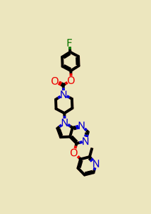 Cc1ncccc1Oc1ncnc2c1ccn2C1CCN(C(=O)Oc2ccc(F)cc2)CC1